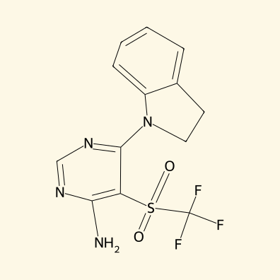 Nc1ncnc(N2CCc3ccccc32)c1S(=O)(=O)C(F)(F)F